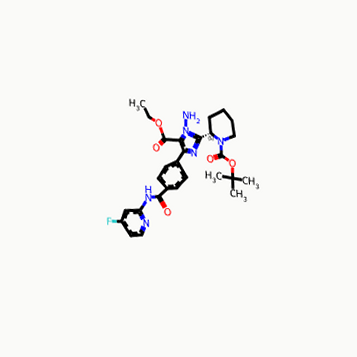 CCOC(=O)c1c(-c2ccc(C(=O)Nc3cc(F)ccn3)cc2)nc([C@@H]2CCCCN2C(=O)OC(C)(C)C)n1N